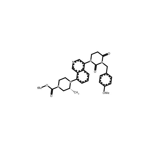 COc1ccc(CN2C(=O)CCN(c3cncc4c(N5CCN(C(=O)OC(C)(C)C)C[C@H]5C)cccc34)C2=O)cc1